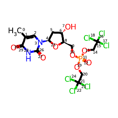 Cc1cn([C@H]2C[C@H](O)[C@@H](COP(=O)(OCC(Cl)(Cl)Cl)OCC(Cl)(Cl)Cl)O2)c(=O)[nH]c1=O